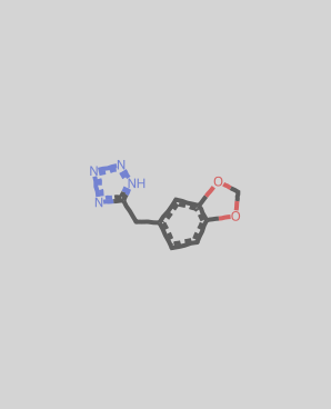 c1cc2c(cc1Cc1nnn[nH]1)OCO2